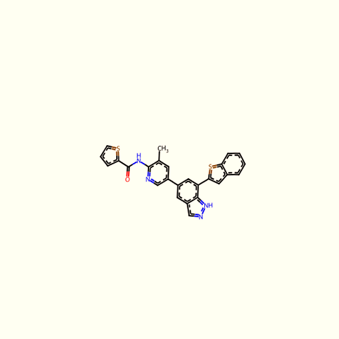 Cc1cc(-c2cc(-c3cc4ccccc4s3)c3[nH]ncc3c2)cnc1NC(=O)c1cccs1